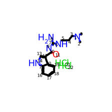 CN(C)CCCNC(N)=NC(=O)c1c[nH]c2ccccc12.Cl.Cl